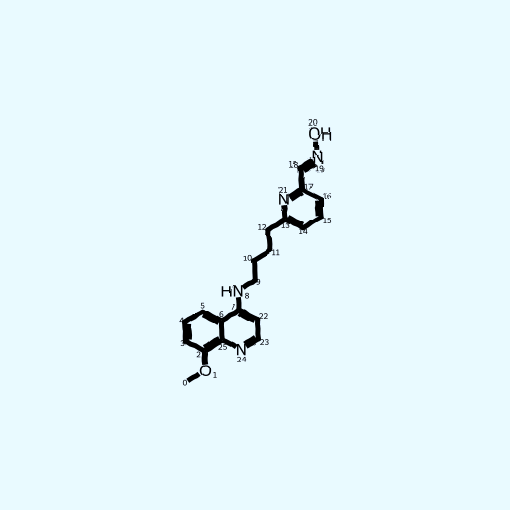 COc1cccc2c(NCCCCc3cccc(C=NO)n3)ccnc12